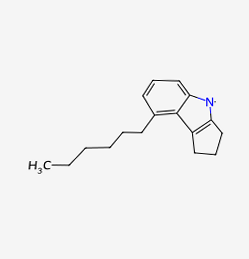 CCCCCCc1cccc2c1C1=C(CCC1)[N]2